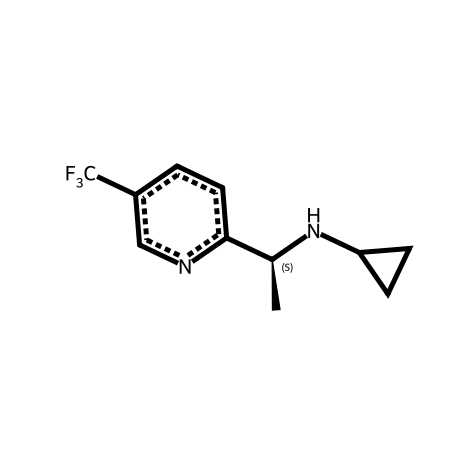 C[C@H](NC1CC1)c1ccc(C(F)(F)F)cn1